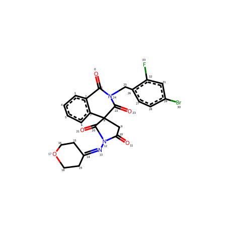 O=C1c2ccccc2C2(CC(=O)N(N=C3CCOCC3)C2=O)C(=O)N1Cc1ccc(Br)cc1F